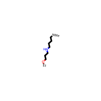 CCOCCCNCCCCNC